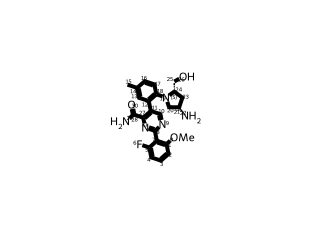 COc1cccc(F)c1-c1ncc(-c2cc(C)ccc2N2C[C@@H](N)C[C@H]2CO)c(C(N)=O)n1